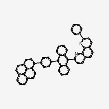 c1ccc(-c2ccc3ccc4ccc(-c5c6ccccc6c(-c6ccc(-c7ccc8ccc9cccc%10ccc7c8c9%10)cc6)c6ccccc56)nc4c3n2)cc1